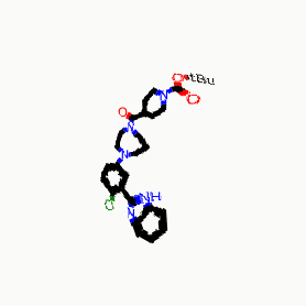 CC(C)(C)OC(=O)N1CCC(C(=O)N2CCCN(c3ccc(Cl)c(-c4nc5ccccc5[nH]4)c3)CC2)CC1